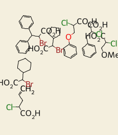 C=CCC(Cl)C(=O)O.COCC(Cl)C(=O)O.O=C(O)C(Br)C(c1ccccc1)c1ccccc1.O=C(O)C(Br)C1CCCC1.O=C(O)C(Br)C1CCCCC1.O=C(O)C(Cl)COc1ccccc1.O=C(O)C(Cl)Cc1ccccc1